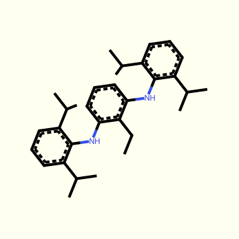 CCc1c(Nc2c(C(C)C)cccc2C(C)C)cccc1Nc1c(C(C)C)cccc1C(C)C